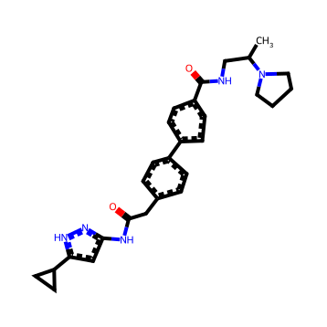 CC(CNC(=O)c1ccc(-c2ccc(CC(=O)Nc3cc(C4CC4)[nH]n3)cc2)cc1)N1CCCC1